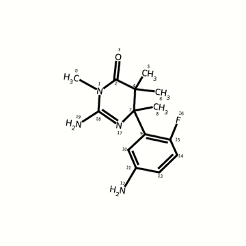 CN1C(=O)C(C)(C)C(C)(c2cc(N)ccc2F)N=C1N